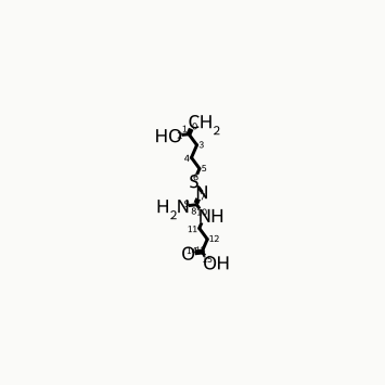 C=C(O)CCCS/N=C(\N)NCCC(=O)O